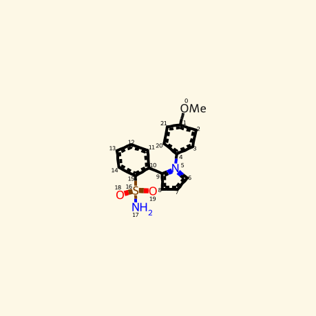 COc1ccc(-n2cccc2-c2ccccc2S(N)(=O)=O)cc1